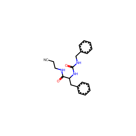 N#CCCNC(=O)C(Cc1ccccc1)NC(=O)NCc1ccccc1